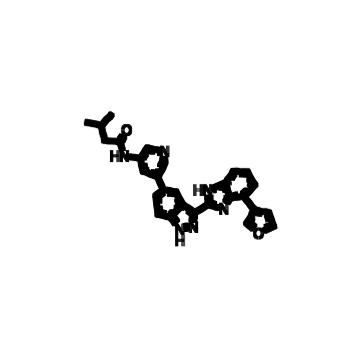 CC(C)CC(=O)Nc1cncc(-c2ccc3[nH]nc(-c4nc5c(-c6ccoc6)cccc5[nH]4)c3c2)c1